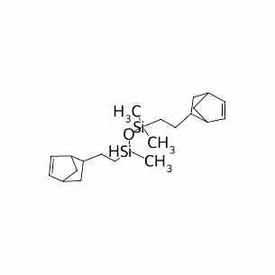 C[SiH](CCC1CC2C=CC1C2)O[Si](C)(C)CCC1CC2C=CC1C2